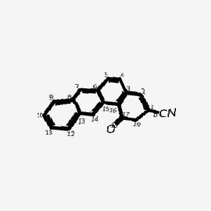 N#CC1=Cc2ccc3cc4ccccc4cc3c2C(=O)C1